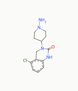 NN1CCC(N2Cc3c(Cl)cccc3NC2=O)CC1